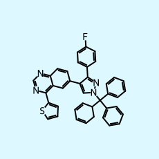 Fc1ccc(-c2nn(C(c3ccccc3)(c3ccccc3)C3C=CC=CC3)cc2-c2ccc3ncnc(-c4cccs4)c3c2)cc1